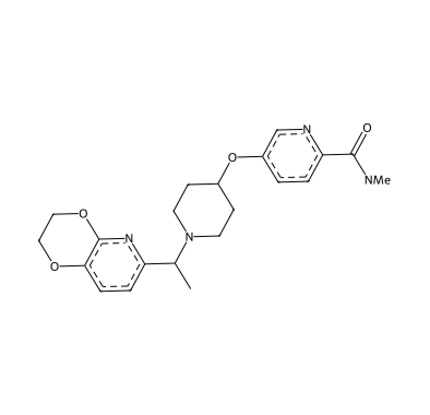 CNC(=O)c1ccc(OC2CCN(C(C)c3ccc4c(n3)OCCO4)CC2)cn1